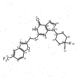 O=c1[nH]c(SCc2nc3cc(C(F)(F)F)ccc3o2)nc2c1cnn2C1CCC(F)(F)CC1